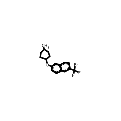 CC1CCC(Oc2ccc3cc(C(F)(F)Br)ccc3c2)CC1